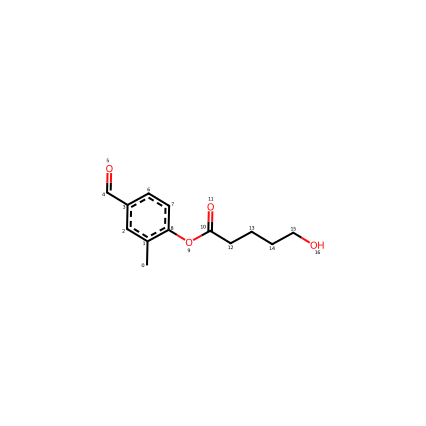 Cc1cc(C=O)ccc1OC(=O)CCCCO